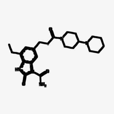 CCc1cc(C[CH]C(=O)N2CCC(N3CCCCC3)CC2)cc2c1[nH]c(=O)n2C(N)=O